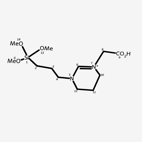 CO[Si](CCCN1C=[N+](CC(=O)O)CCC1)(OC)OC